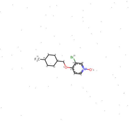 [O-][n+]1ccc(OCC2CCC(C(F)(F)F)CC2)c(Br)c1